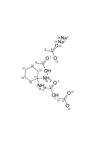 CC(=O)O.CC(=O)O.CC(=O)[O-].CC(=O)[O-].NC1(N)CCCCC1.[Na+].[Na+]